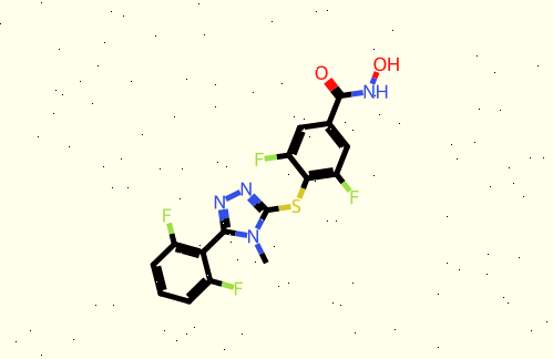 Cn1c(Sc2c(F)cc(C(=O)NO)cc2F)nnc1-c1c(F)cccc1F